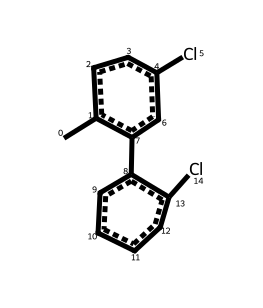 Cc1ccc(Cl)cc1-c1ccccc1Cl